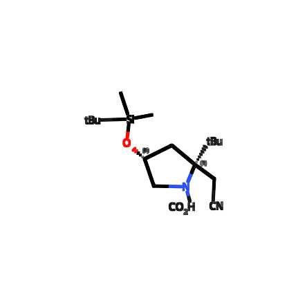 CC(C)(C)[C@@]1(CC#N)C[C@@H](O[Si](C)(C)C(C)(C)C)CN1C(=O)O